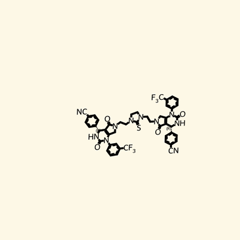 N#Cc1ccc([C@H]2NC(=O)N(c3cccc(C(F)(F)F)c3)C3=C2C(=O)N(CCN2CCN(CCN4CC5=C(C4=O)[C@@H](c4ccc(C#N)cc4)NC(=O)N5c4cccc(C(F)(F)F)c4)C2=S)C3)cc1